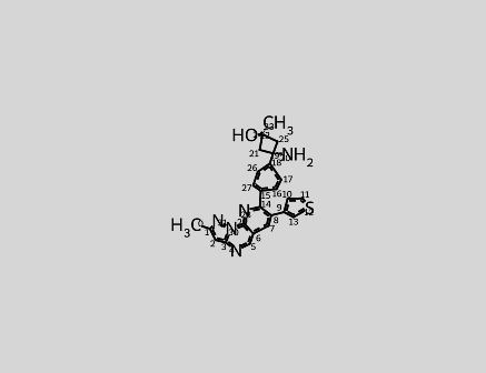 Cc1cc2ncc3cc(-c4ccsc4)c(-c4ccc([C@]5(N)C[C@@](C)(O)C5)cc4)nc3n2n1